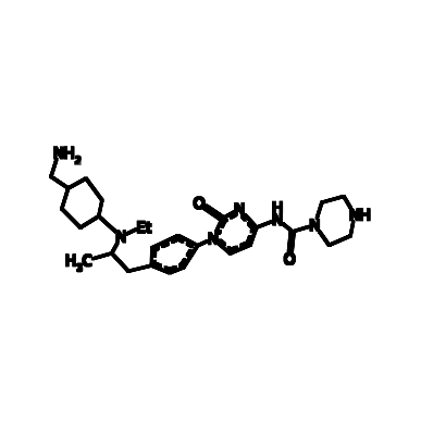 CCN(C(C)Cc1ccc(-n2ccc(NC(=O)N3CCNCC3)nc2=O)cc1)C1CCC(CN)CC1